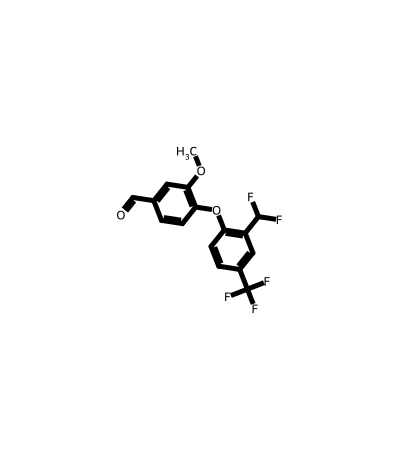 COc1cc(C=O)ccc1Oc1ccc(C(F)(F)F)cc1C(F)F